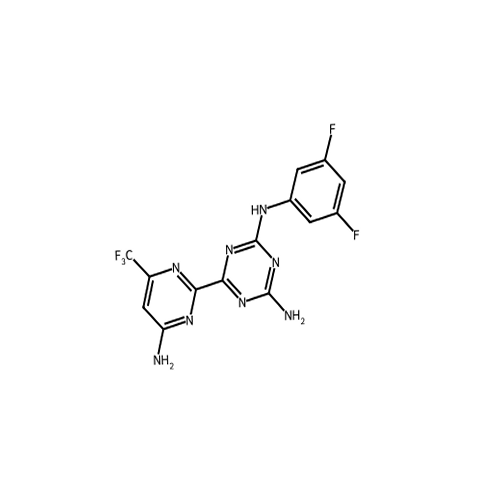 Nc1cc(C(F)(F)F)nc(-c2nc(N)nc(Nc3cc(F)cc(F)c3)n2)n1